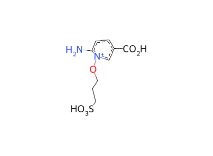 Nc1ccc(C(=O)O)c[n+]1OCCCS(=O)(=O)O